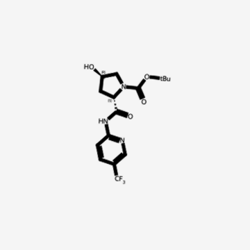 CC(C)(C)OC(=O)N1C[C@H](O)C[C@H]1C(=O)Nc1ccc(C(F)(F)F)cn1